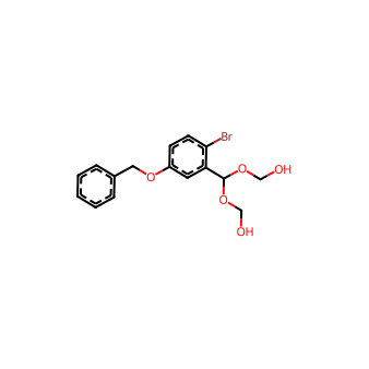 OCOC(OCO)c1cc(OCc2ccccc2)ccc1Br